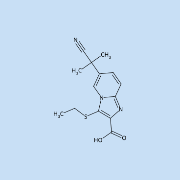 CCSc1c(C(=O)O)nc2ccc(C(C)(C)C#N)cn12